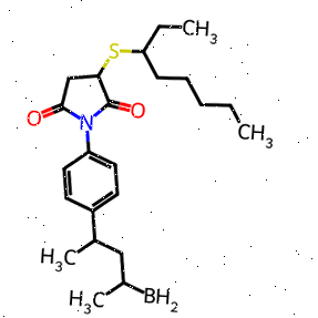 BC(C)CC(C)c1ccc(N2C(=O)CC(SC(CC)CCCCC)C2=O)cc1